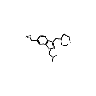 CC(C)Cn1nc(CN2CCOCC2)c2ccc(CO)cc21